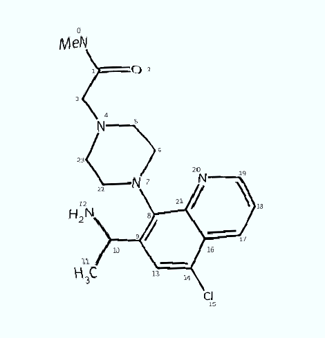 CNC(=O)CN1CCN(c2c(C(C)N)cc(Cl)c3cccnc23)CC1